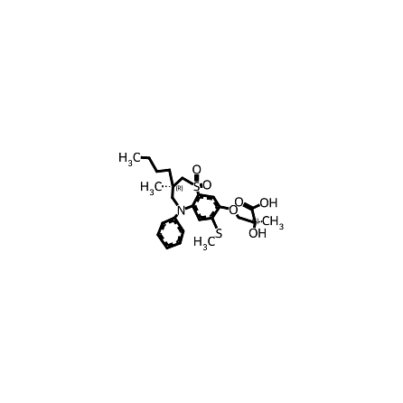 CCCC[C@]1(C)CN(c2ccccc2)c2cc(SC)c(OC[C@](C)(O)C(=O)O)cc2S(=O)(=O)C1